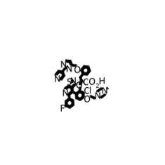 Cc1c(-c2c(-c3cccc(F)c3)ncc3snc(O[C@H](Cc4ccccc4OCc4ccnc(-c5ccncc5)n4)C(=O)O)c23)ccc(OCCN2CCN(C)CC2)c1Cl